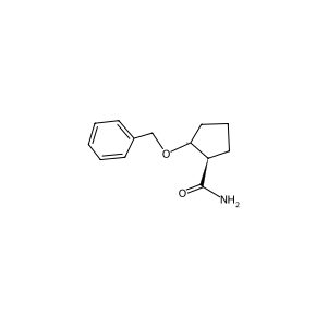 NC(=O)[C@@H]1CCC[C]1OCc1ccccc1